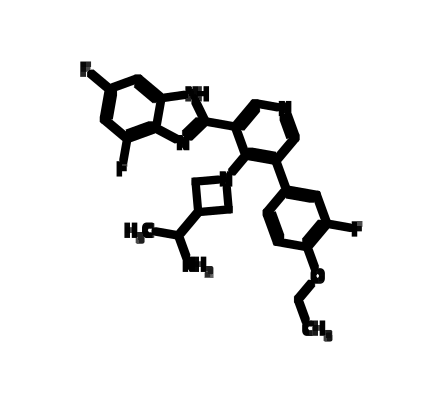 CCOc1ccc(-c2cncc(-c3nc4c(F)cc(F)cc4[nH]3)c2N2CC(C(C)N)C2)cc1F